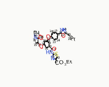 CCOC(=O)c1csc(NC(=O)c2cc(Oc3ccc(-c4nnc(CC(C)C)o4)cc3)cc(OC3CCN(C)C3=O)c2)n1